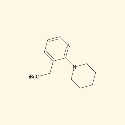 CC(C)COCc1cccnc1N1CCCCC1